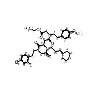 CCOC(=O)CN(CCc1ccc(OC)cc1)C(=O)CC1C(=O)N(CCc2ccc(Cl)cc2Cl)CC(=O)N1CCCN1CCOCC1